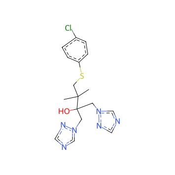 CC(C)(CSc1ccc(Cl)cc1)C(O)(Cn1cncn1)Cn1cncn1